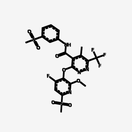 COc1nc(S(C)(=O)=O)cc(F)c1Oc1nnc(C(F)(F)F)c(C)c1C(=O)Nc1cccc(S(C)(=O)=O)c1